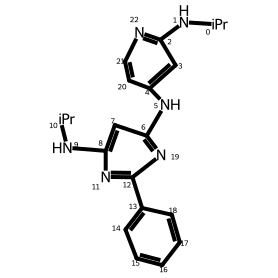 CC(C)Nc1cc(Nc2cc(NC(C)C)nc(-c3ccccc3)n2)ccn1